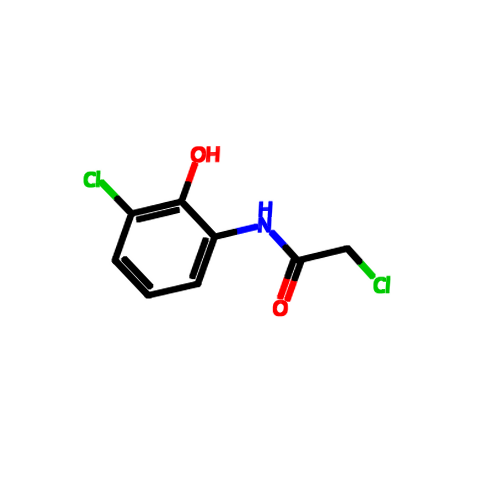 O=C(CCl)Nc1cccc(Cl)c1O